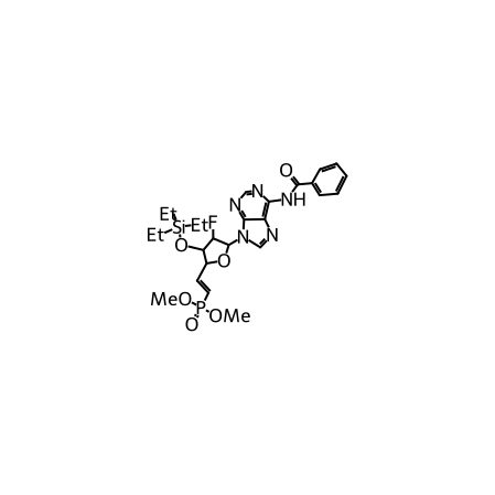 CC[Si](CC)(CC)OC1C(/C=C/P(=O)(OC)OC)OC(n2cnc3c(NC(=O)c4ccccc4)ncnc32)C1F